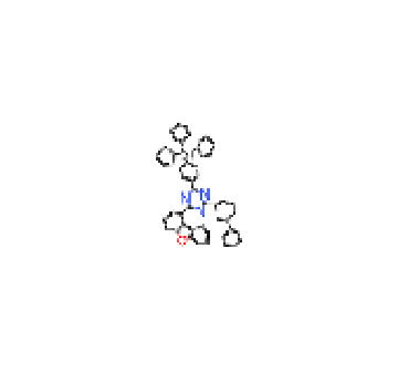 c1ccc(-c2cccc(-c3nc(-c4ccc([Si](c5ccccc5)(c5ccccc5)c5ccccc5)cc4)nc(-c4cccc5oc6ccccc6c45)n3)c2)cc1